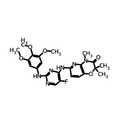 COc1cc(Nc2ncc(F)c(Nc3ccc4c(n3)N(C)C(=O)C(C)(C)O4)n2)cc(OC)c1OC